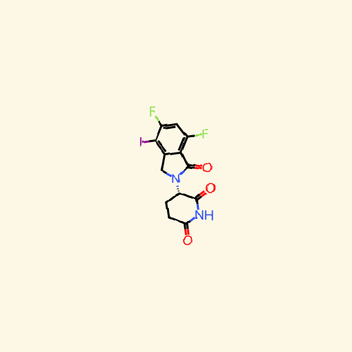 O=C1CC[C@H](N2Cc3c(I)c(F)cc(F)c3C2=O)C(=O)N1